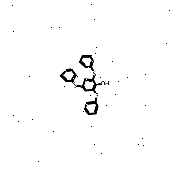 Oc1c(Sc2ccccc2)cc(Sc2ccccc2)cc1Sc1ccccc1